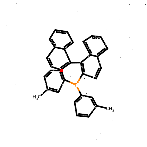 Cc1cccc(P(c2cccc(C)c2)c2ccc3ccccc3c2-c2cccc3ccccc23)c1